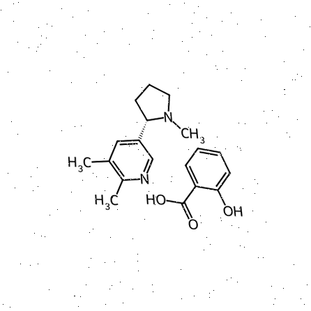 Cc1cc([C@@H]2CCCN2C)cnc1C.O=C(O)c1ccccc1O